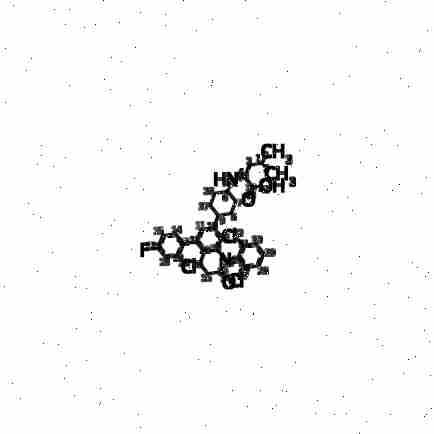 CC(C)C[C@H](NC1CCC(c2cc(-c3ccc(F)cc3Cl)c3c(c2)N(c2c(Cl)cccc2Cl)C(=O)CC3)CC1)C(=O)O